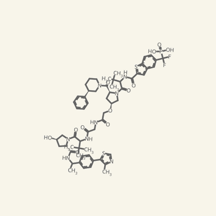 Cc1ncsc1-c1ccc(C(C)NC(=O)[C@@H]2C[C@@H](O)CN2C(=O)C(NC(=O)CNC(=O)CO[C@H]2C[C@@H](C(=O)N3CCC[C@H](c4ccccc4)C3)N(C(=O)C(NC(=O)c3cc4cc(C(F)(F)P(=O)(O)O)ccc4s3)C(C)(C)C)C2)C(C)(C)C)cc1